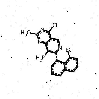 CCc1cccc2cccc(-c3ncc4c(Cl)nc(C)nc4c3P)c12